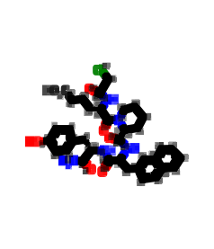 NC(=O)[C@H](Cc1ccc(O)cc1)NC(=O)C(Cc1ccc2ccccc2c1)NC(=O)[C@@H]1CCCCN1C(=O)[C@H](CCCC(=O)O)NC(=O)CCl